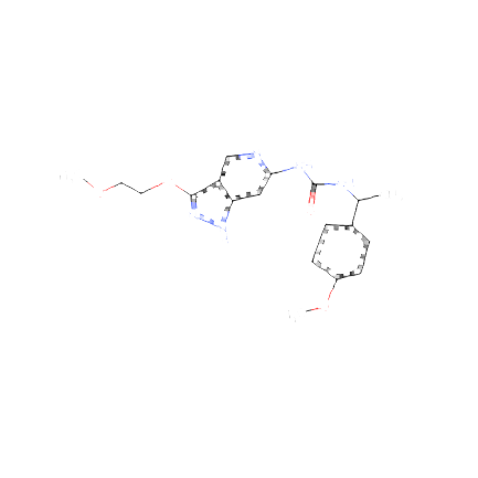 COCCOc1n[nH]c2cc(NC(=O)NC(C)c3ccc(OC)cc3)ncc12